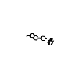 CC(=O)C(C(C)=O)c1ccc2cc(-c3ccc(SC45CC6CC(CC(C6)C4)C5)cc3)ccc2c1